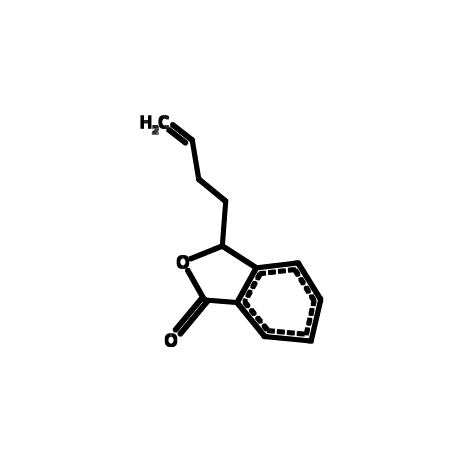 C=CCCC1OC(=O)c2ccccc21